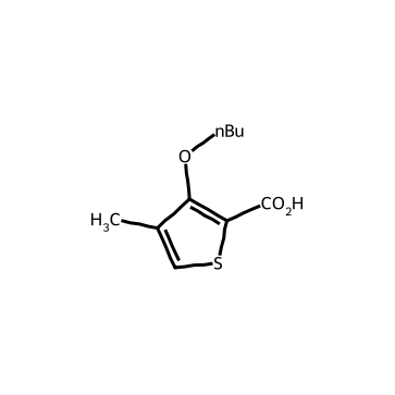 CCCCOc1c(C)csc1C(=O)O